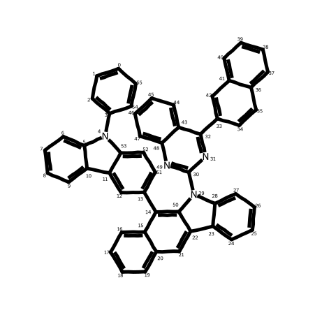 c1ccc(-n2c3ccccc3c3cc(-c4c5ccccc5cc5c6ccccc6n(-c6nc(-c7ccc8ccccc8c7)c7ccccc7n6)c45)ccc32)cc1